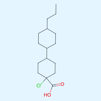 CCCC1CCC(C2CCC(Cl)(C(=O)O)CC2)CC1